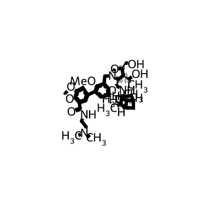 COc1c(CN2O[C@@H](CO)[C@@H]([C@H](C)O)[C@H]2C(=O)N[C@@H]2C[C@H]3C[C@@H]([C@@H]2C)C3(C)C)cccc1-c1cc2c(c(C(=O)NCCN(C)C)c1)OCO2